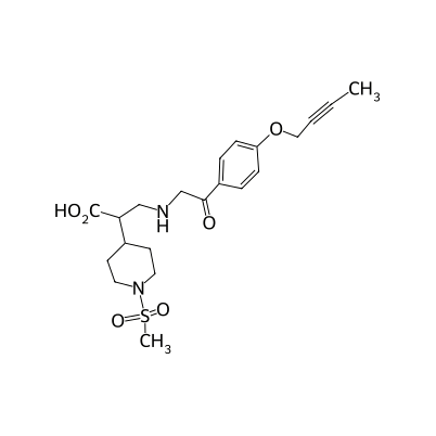 CC#CCOc1ccc(C(=O)CNCC(C(=O)O)C2CCN(S(C)(=O)=O)CC2)cc1